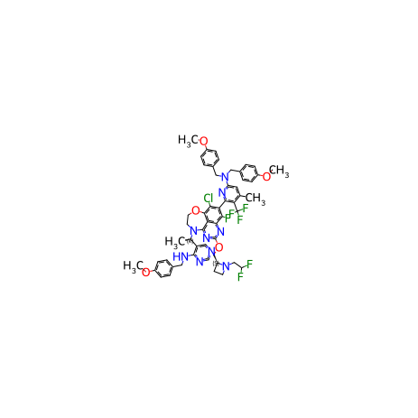 COc1ccc(CNc2ncncc2[C@@H](C)N2CCOc3c(Cl)c(-c4nc(N(Cc5ccc(OC)cc5)Cc5ccc(OC)cc5)cc(C)c4C(F)(F)F)c(F)c4nc(OC[C@@H]5CCN5CC(F)F)nc2c34)cc1